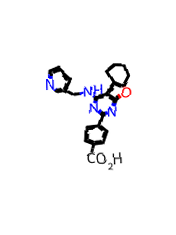 O=C(O)c1ccc(-c2nc(NCc3cccnc3)c3c4c(oc3n2)CCCC4)cc1